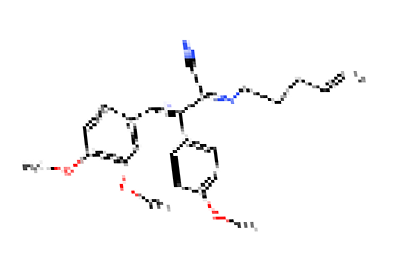 C=CCCCN=C(C#N)/C(=C/c1ccc(OC)c(OC)c1)c1ccc(OC)cc1